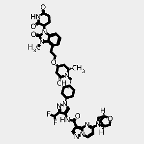 C[C@@H]1CC(OCCc2cccc3c2n(C)c(=O)n3C2CCC(=O)NC2=O)C[C@H](C)N1C[C@H]1CC[C@H](n2cc(NC(=O)c3cnn4ccc(N5C[C@H]6C[C@@H]5CO6)nc34)c(C(F)F)n2)CC1